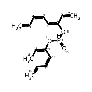 C=C/C=C\C=C(/C=C)O[PH](=O)OC(/C=C\C=C)=C/C